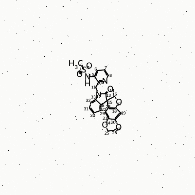 CS(=O)(=O)Nc1cccnc1CN1C(=O)C2(COc3cc4c(cc32)OCCO4)c2ccccc21